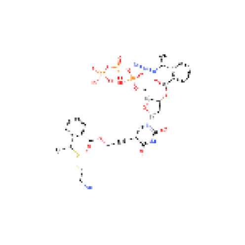 CC(N=[N+]=[N-])c1ccccc1C(=O)OC1C[C@H](n2cc(C#CCOC(=O)c3ccccc3C(C)SSCCN)c(=O)[nH]c2=O)O[C@@H]1COP(=O)(O)OP(=O)(O)OP(=O)(O)O